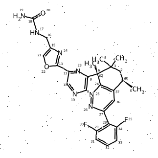 C[C@@H]1CC(C)(C)[C@@](C)(c2cncc(-c3nc(CNC(N)=O)co3)n2)c2nnc(-c3c(F)cccc3F)cc21